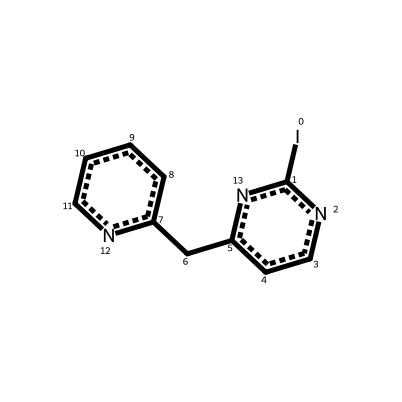 Ic1nccc(Cc2ccccn2)n1